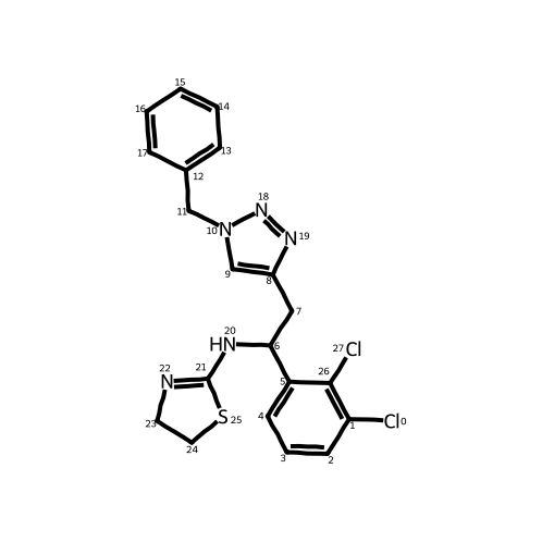 Clc1cccc(C(Cc2cn(Cc3ccccc3)nn2)NC2=NCCS2)c1Cl